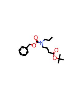 CCCN(CCCC(=O)OC(C)(C)C)C(=O)OCc1ccccc1